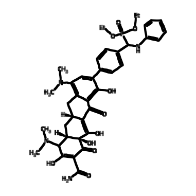 CCOP(=O)(OCC)C(Nc1ccccc1)c1ccc(-c2cc(N(C)C)c3c(c2O)C(=O)C2=C(O)[C@]4(O)C(=O)C(C(N)=O)=C(O)C(N(C)C)[C@@H]4C[C@@H]2C3)cc1